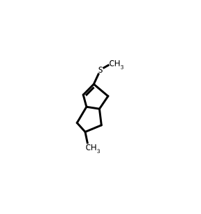 CSC1=CC2CC(C)CC2C1